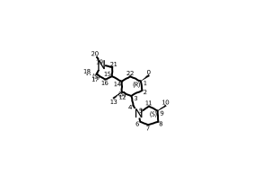 C[C@H]1CC(CN2CCC[C@H](C)C2)[C@@H](C)C(C2C[C@H](C)N(C)C2)C1